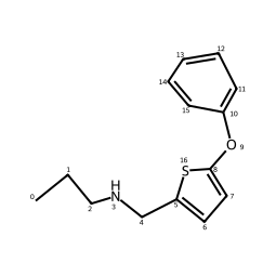 CCCNCc1ccc(Oc2ccccc2)s1